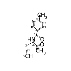 C#CCC(NC(=O)c1ccc(C)cc1)C(C)=O